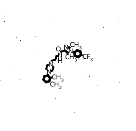 Cc1cccc(N2CCN(CCCNC(=O)c3nc(C)n(-c4ccc(C(F)(F)F)cc4)c3C)CC2)c1C